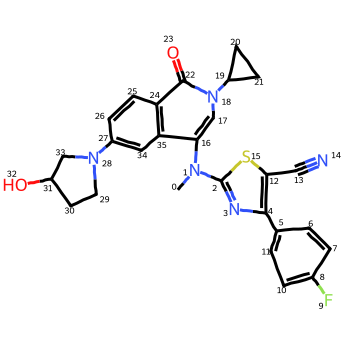 CN(c1nc(-c2ccc(F)cc2)c(C#N)s1)c1cn(C2CC2)c(=O)c2ccc(N3CCC(O)C3)cc12